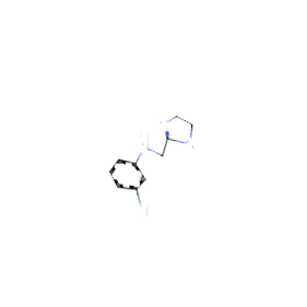 Clc1cccc(NCC2=NCCN2)c1